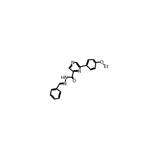 CCOc1ccc(-c2cncc(C(=O)NN=Cc3ccccc3)n2)cc1